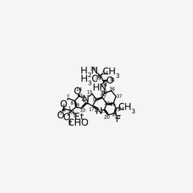 CC[C@@]1(OC=O)C(=O)OCc2c1cc1n(c2=O)Cc2c-1nc1cc(F)c(C)c3c1c2[C@@H](NC(=O)C(C)(C)N)CC3